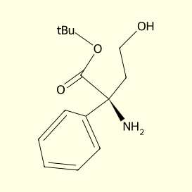 CC(C)(C)OC(=O)[C@](N)(CCO)c1ccccc1